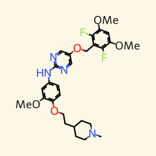 COc1cc(Nc2ncc(OCc3c(F)c(OC)cc(OC)c3F)cn2)ccc1OCCC1CCN(C)CC1